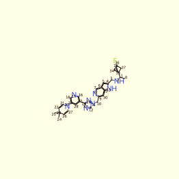 CC(NCc1cc2cnc(Cn3cnc(-c4cncc(N5C=CC(C)(C)C=C5)c4)n3)cc2[nH]1)C12CC(F)(C1)C2